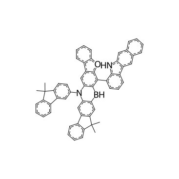 CC1(C)c2ccccc2-c2cc(N3c4cc5c(cc4Bc4c3cc3c(oc6ccccc63)c4-c3cccc4c3[nH]c3cc6ccccc6cc34)C(C)(C)c3ccccc3-5)ccc21